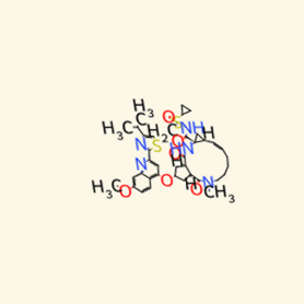 C=S(=O)(NC(=O)[C@@]12C[C@H]1/C=C\CCCCN(C)C(=O)[C@@H]1C[C@H](Oc3cc(-c4nc(C(C)C)cs4)nc4cc(OC)ccc34)C[C@H]1C(=O)N2)C1CC1